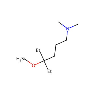 CCC(CC)(CCCN(C)C)O[SiH3]